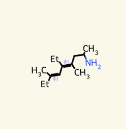 CC/C(C)=C/C(CC)=C(\C)CC(C)N